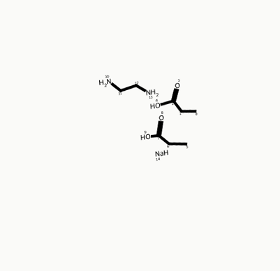 CCC(=O)O.CCC(=O)O.NCCN.[NaH]